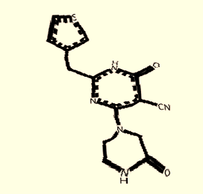 N#Cc1c(N2CCNC(=O)C2)nc(Cc2ccsc2)[nH]c1=O